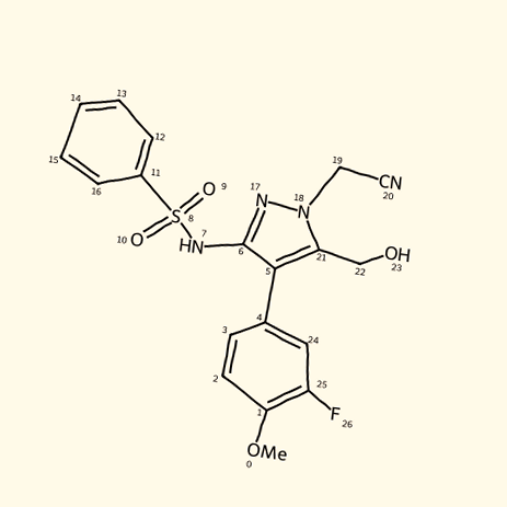 COc1ccc(-c2c(NS(=O)(=O)c3ccccc3)nn(CC#N)c2CO)cc1F